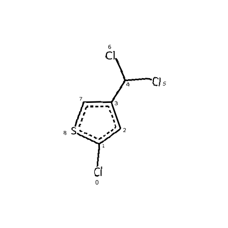 Clc1cc(C(Cl)Cl)cs1